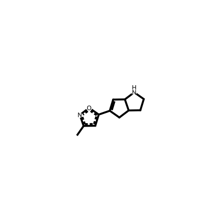 Cc1cc(C2=CC3NCCC3C2)on1